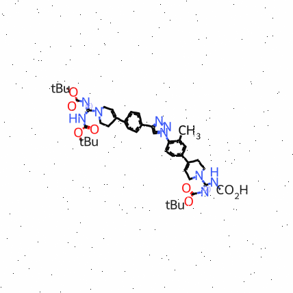 Cc1cc(C2=CCN(/C(=N\C(=O)OC(C)(C)C)NC(=O)O)CC2)ccc1-n1cc(-c2ccc(C3=CCN(/C(=N/C(=O)OC(C)(C)C)NC(=O)OC(C)(C)C)CC3)cc2)nn1